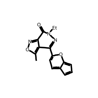 CCn1nc(-c2ccc3cccc-3o2)c2c(C)onc2c1=O